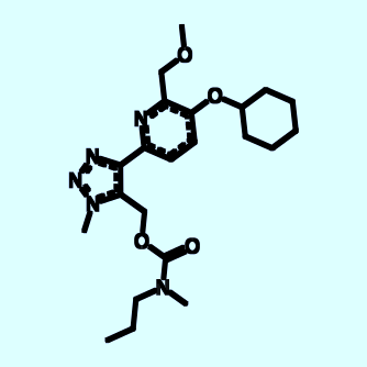 CCCN(C)C(=O)OCc1c(-c2ccc(OC3CCCCC3)c(COC)n2)nnn1C